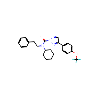 O=C(N(CCc1ccccc1)C1CCCCC1)n1ncc(-c2ccc(OC(F)(F)F)cc2)n1